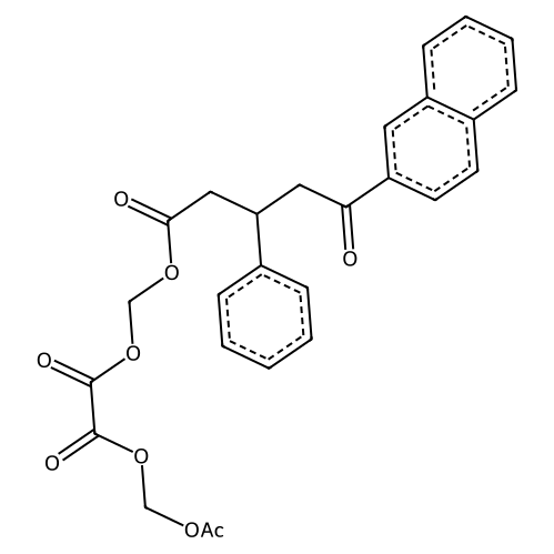 CC(=O)OCOC(=O)C(=O)OCOC(=O)CC(CC(=O)c1ccc2ccccc2c1)c1ccccc1